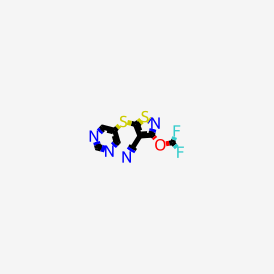 N#Cc1c(OC(F)F)nsc1Sc1cncnc1